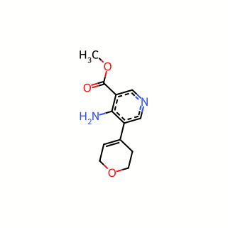 COC(=O)c1cncc(C2=CCOCC2)c1N